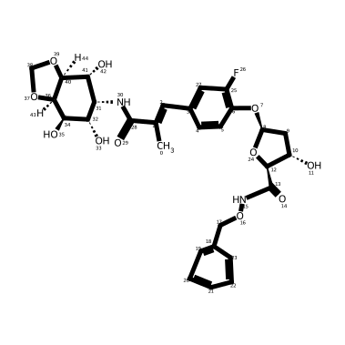 CC(=Cc1ccc(O[C@H]2C[C@H](O)[C@@H](C(=O)NOCc3ccccc3)O2)c(F)c1)C(=O)N[C@@H]1[C@H](O)[C@@H](O)[C@H]2OCO[C@H]2[C@@H]1O